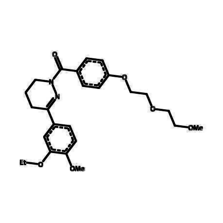 CCOc1cc(C2=NN(C(=O)c3ccc(OCCOCCOC)cc3)CCC2)ccc1OC